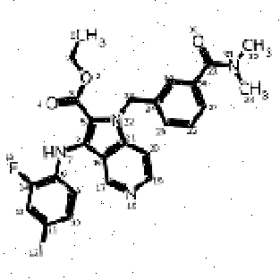 CCOC(=O)c1c(Nc2ccc(I)cc2F)c2cnccc2n1Cc1cccc(C(=O)N(C)C)c1